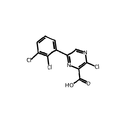 O=C(O)c1nc(-c2cccc(Cl)c2Cl)cnc1Cl